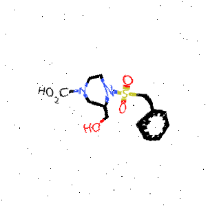 O=C(O)N1CCN(S(=O)(=O)Cc2ccccc2)C(CO)C1